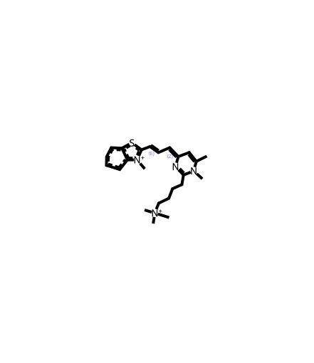 CC1=C/C(=C/C=C/c2sc3ccccc3[n+]2C)N=C(CCCC[N+](C)(C)C)N1C